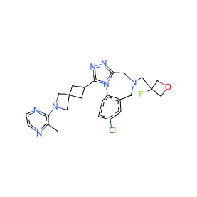 Cc1nccnc1N1CC2(CC(c3nnc4n3-c3ccc(Cl)cc3CN(CC3(F)COC3)C4)C2)C1